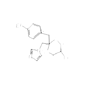 CCc1ccc(CC2(Cn3ccnc3)SCC(CC)CS2)cc1